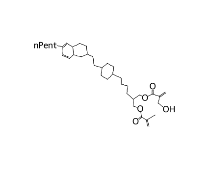 C=C(C)C(=O)OCC(CCCCC1CCC(CCC2CCC3C=C(CCCCC)C=CC3C2)CC1)COC(=O)C(=C)CO